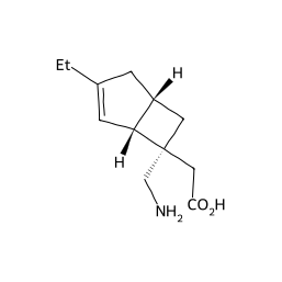 CCC1=C[C@@H]2[C@H](C1)C[C@@]2(CN)CC(=O)O